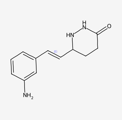 Nc1cccc(/C=C/C2CCC(=O)NN2)c1